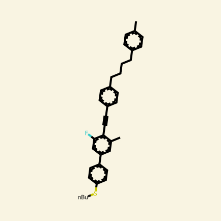 CCCCSc1ccc(-c2cc(C)c(C#Cc3ccc(CCCCc4ccc(C)cc4)cc3)c(F)c2)cc1